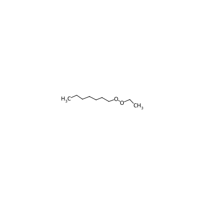 CCCCCCCOOCC